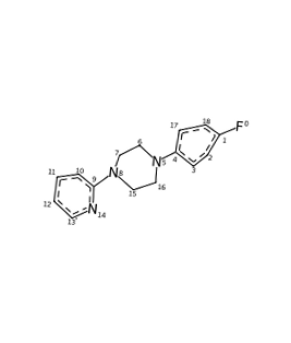 Fc1ccc(N2CCN(c3ccc[c]n3)CC2)cc1